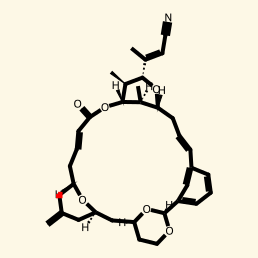 C=C1C[C@@H]2C[C@@H]3CCO[C@@H](O3)c3cccc(c3)/C=C/C[C@H]3O[C@@H](/C(C)=C/C#N)[C@H](C)[C@@H](OC(=O)/C=C/C[C@@H](C1)O2)[C@H]3C